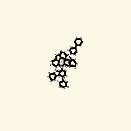 c1ccc(-c2ccc(N(c3ccccc3)c3ccc4sc5cccc(N(c6ccccc6)c6ccc(-c7ccccc7)c7c6sc6ccccc67)c5c4c3)cc2)cc1